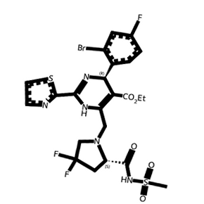 CCOC(=O)C1=C(CN2CC(F)(F)C[C@H]2C(=O)NS(C)(=O)=O)NC(c2nccs2)=N[C@H]1c1ccc(F)cc1Br